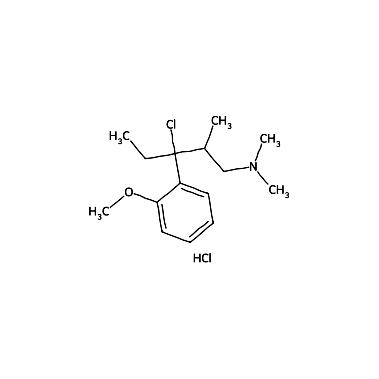 CCC(Cl)(c1ccccc1OC)C(C)CN(C)C.Cl